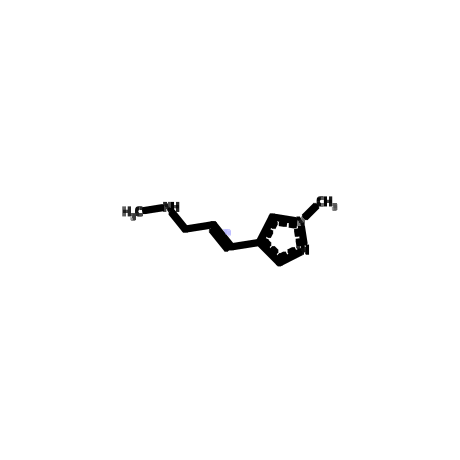 CNC/C=C/c1cnn(C)c1